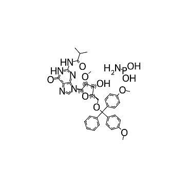 COc1ccc(C(OC[C@H]2O[C@@H](n3cnc4c(=O)[nH]c(NC(=O)C(C)C)nc43)[C@H](OC)[C@@H]2O)(c2ccccc2)c2ccc(OC)cc2)cc1.NP(O)O